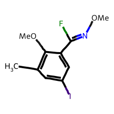 CON=C(F)c1cc(I)cc(C)c1OC